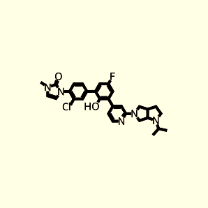 CC(C)N1CCC2CN(c3cc(-c4cc(F)cc(-c5ccc(-n6ccn(C)c6=O)c(Cl)c5)c4O)ccn3)CC21